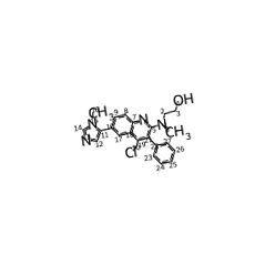 CN(CCO)c1nc2ccc(-c3cncn3C)cc2c(Cl)c1-c1ccccc1